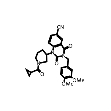 COc1ccc(Cn2c(=O)c3cc(C#N)ccc3n(C3CCCN(C(=O)C4CC4)C3)c2=O)cc1OC